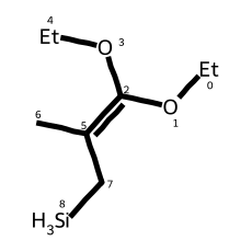 CCOC(OCC)=C(C)C[SiH3]